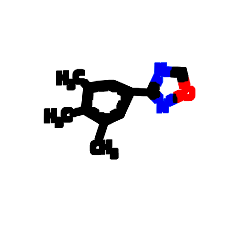 Cc1cc(-c2ncon2)cc(C)c1C